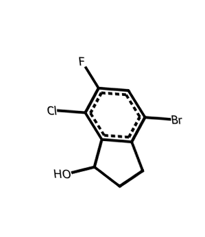 OC1CCc2c(Br)cc(F)c(Cl)c21